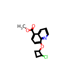 COC(=O)c1ccc(OC2CCC2Cl)c2ncccc12